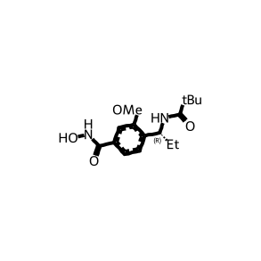 CC[C@@H](NC(=O)C(C)(C)C)c1ccc(C(=O)NO)cc1OC